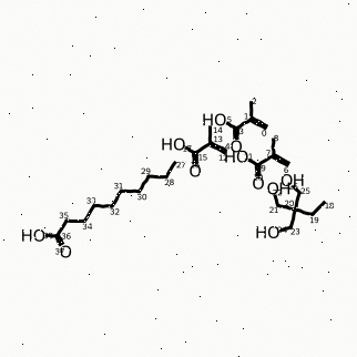 C=C(C)C(=O)O.C=C(C)C(=O)O.C=C(C)C(=O)O.CCC(CO)(CO)CO.CCCCCCCCCC(=O)O